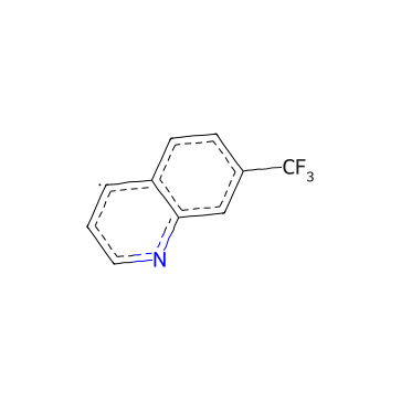 FC(F)(F)c1ccc2[c]ccnc2c1